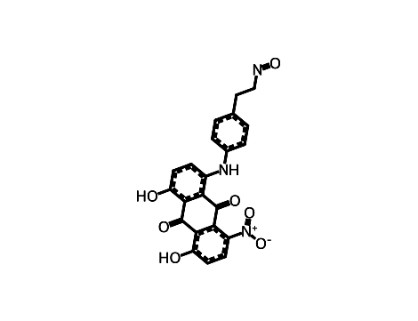 O=NCCc1ccc(Nc2ccc(O)c3c2C(=O)c2c([N+](=O)[O-])ccc(O)c2C3=O)cc1